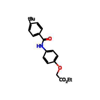 CCOC(=O)COc1ccc(NC(=O)c2ccc(C(C)(C)C)cc2)cc1